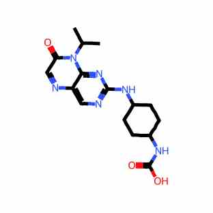 CC(C)n1c(=O)cnc2cnc(NC3CCC(NC(=O)O)CC3)nc21